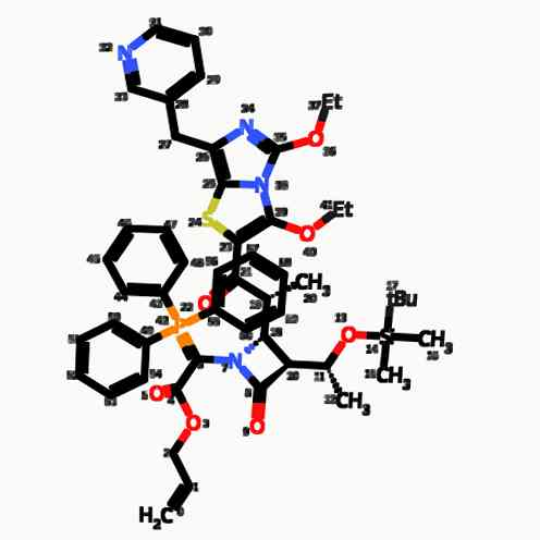 C=CCOC(=O)C(N1C(=O)[C@H]([C@@H](C)O[Si](C)(C)C(C)(C)C)[C@H]1[C@@H](C)C(=O)c1sc2c(Cc3cccnc3)nc(OCC)n2c1OCC)=P(c1ccccc1)(c1ccccc1)c1ccccc1